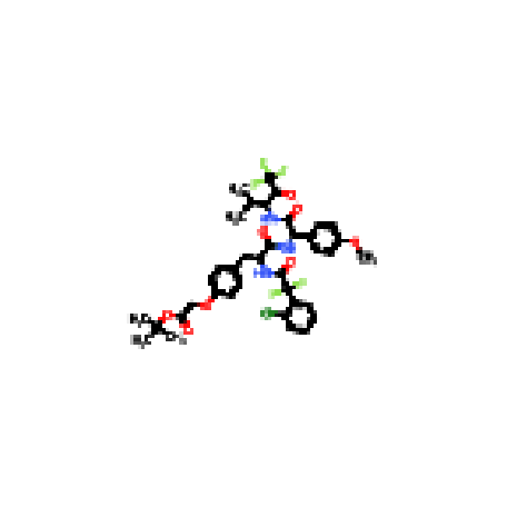 COc1ccc([C@H](NC(=O)[C@H](Cc2ccc(OCC(=O)OC(C)(C)C)cc2)NC(=O)C(F)(F)c2ccccc2Cl)C(=O)N[C@H](C(=O)C(F)(F)F)C(C)C)cc1